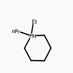 CCC[PH]1(CC)CCCCC1